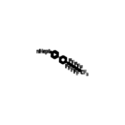 CCCCCCCc1ccc([C@H]2CC[C@H](C(F)(F)C(F)(F)C(F)(F)C(F)(F)C(F)(F)C(F)(F)F)CC2)cc1